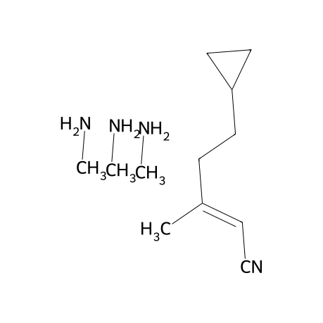 CC(=CC#N)CCC1CC1.CN.CN.CN